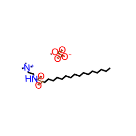 CCCCCCCCCCCCCCCCS(=O)(=O)NCC[N+](C)(C)C.COS(=O)(=O)[O-]